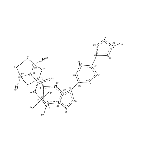 Cc1cc([C@@H]2C[C@H]3CC[C@@H](C2)N3C(=O)OC(C)(C)C)nc2c(-c3ccc(-c4ccn(C)n4)nc3)cnn12